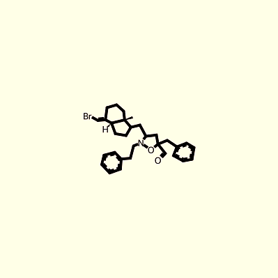 C[C@]12CCC/C(=C\Br)[C@@H]1CCC2CC1CC(C=O)(Cc2ccccc2)ON1CCc1ccccc1